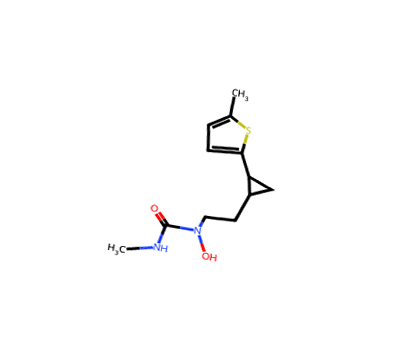 CNC(=O)N(O)CCC1CC1c1ccc(C)s1